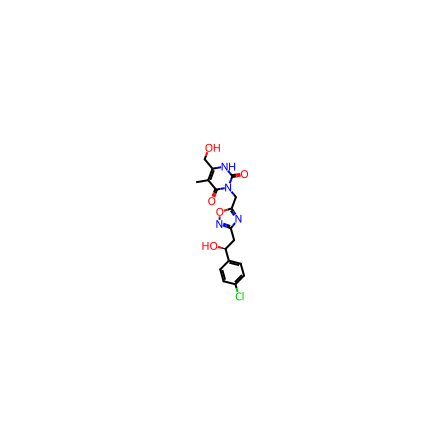 Cc1c(CO)[nH]c(=O)n(Cc2nc(C[C@H](O)c3ccc(Cl)cc3)no2)c1=O